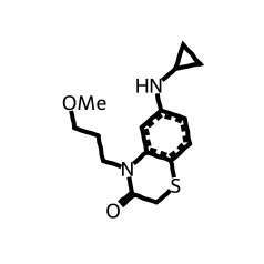 COCCCN1C(=O)CSc2ccc(NC3CC3)cc21